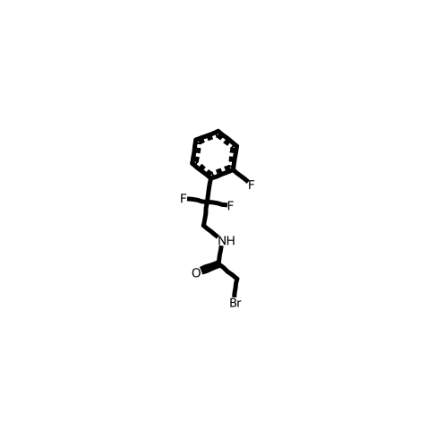 O=C(CBr)NCC(F)(F)c1ccccc1F